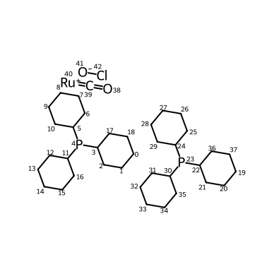 C1CCC(P(C2CCCCC2)C2CCCCC2)CC1.C1CCC(P(C2CCCCC2)C2CCCCC2)CC1.O=[C]=[Ru+].[O-]Cl